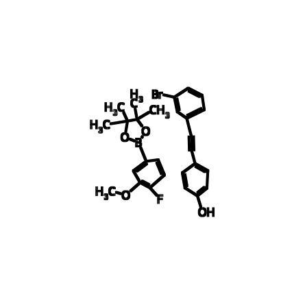 COc1cc(B2OC(C)(C)C(C)(C)O2)ccc1F.Oc1ccc(C#Cc2cccc(Br)c2)cc1